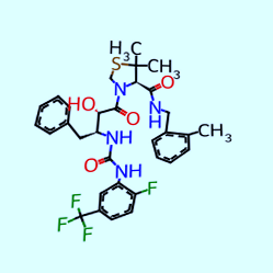 Cc1ccccc1CNC(=O)[C@H]1N(C(=O)[C@@H](O)[C@H](Cc2ccccc2)NC(=O)Nc2cc(C(F)(F)F)ccc2F)CSC1(C)C